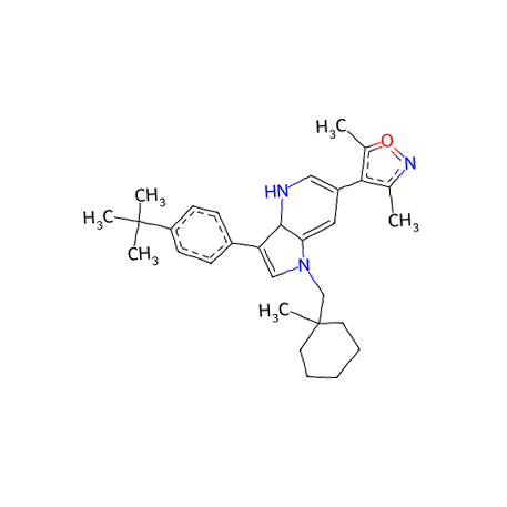 Cc1noc(C)c1C1=CNC2C(c3ccc(C(C)(C)C)cc3)=CN(CC3(C)CCCCC3)C2=C1